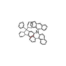 C1=CCC(C2(c3ccccc3)c3cc(N(c4ccc5ccccc5c4-c4ccccc4)c4c5ccccc5cc5ccccc45)ccc3C3C=CC=CC32)C=C1